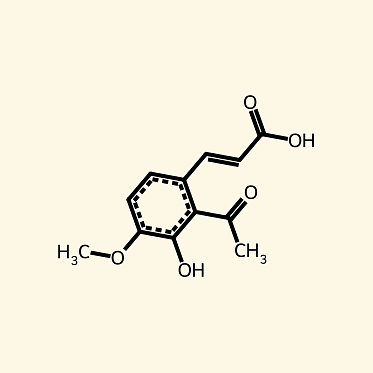 COc1ccc(C=CC(=O)O)c(C(C)=O)c1O